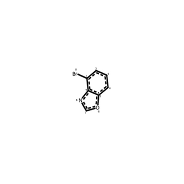 Brc1cccc2ocnc12